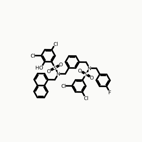 O=S(=O)(c1cc(Cl)cc(Cl)c1)N(Cc1ccc(F)cc1)Cc1cccc(CN(Cc2cccc3ccccc23)S(=O)(=O)c2cc(Cl)cc(Cl)c2O)c1